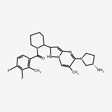 CC1=CN2NC(C3CCCCN3C(=O)c3ccc(F)c(F)c3C)C=C2N=C1N1CC[C@H](N)C1